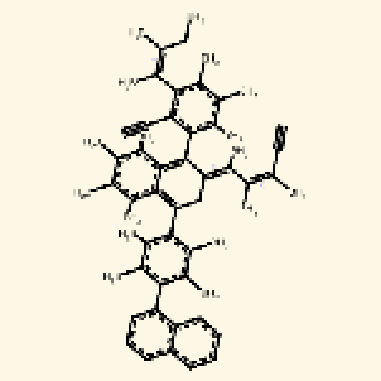 BC/C(B)=C(/B)c1c(B)c(B)c(B)c(C2=c3c(B)c(B)c(B)c(B)c3=C(c3c(B)c(B)c(-c4cccc5ccccc45)c(B)c3B)C/C2=C(B)\C(B)=C(\B)C#C)c1C#C